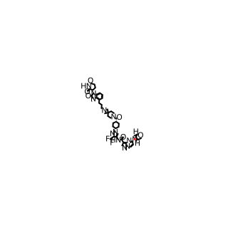 Cn1c(=O)n(C2CCC(=O)NC2=O)c2cccc(CCCN3CC4(CCN(C(=O)[C@H]5CC[C@H](n6cc(NC(=O)c7cnn8ccc(N9C[C@H]%10C[C@@H]9CO%10)nc78)c(C(F)F)n6)CC5)CC4)C3)c21